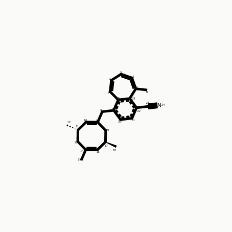 CC1=C=CC=Cc2c(C/C3=C/[C@@H](C)C/C(C)=C\[C@H](C)C3)ccc(C#N)c21